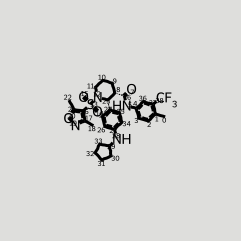 Cc1ccc(NC(=O)[C@H]2CCCN(S(=O)(=O)c3c(C)noc3C)[C@H]2c2ccc(NC3CCCC3)cc2)cc1C(F)(F)F